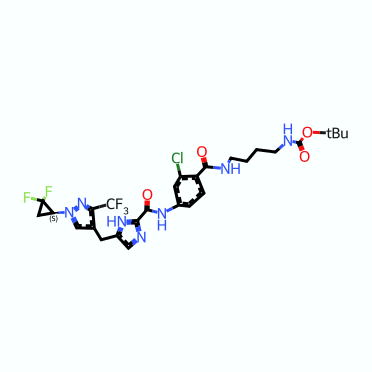 CC(C)(C)OC(=O)NCCCCNC(=O)c1ccc(NC(=O)c2ncc(Cc3cn([C@H]4CC4(F)F)nc3C(F)(F)F)[nH]2)cc1Cl